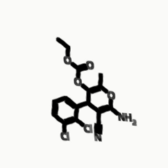 CCOC(=O)OC1=C(C)OC(N)=C(C#N)C1c1cccc(Cl)c1Cl